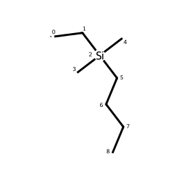 [CH2]C[Si](C)(C)CCCC